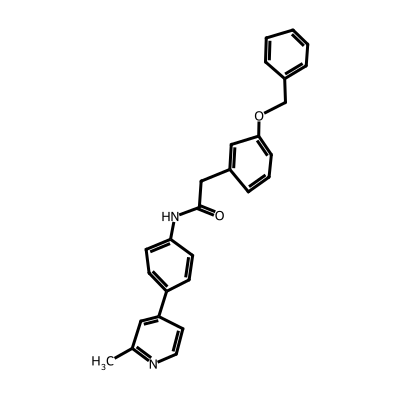 Cc1cc(-c2ccc(NC(=O)Cc3cccc(OCc4ccccc4)c3)cc2)ccn1